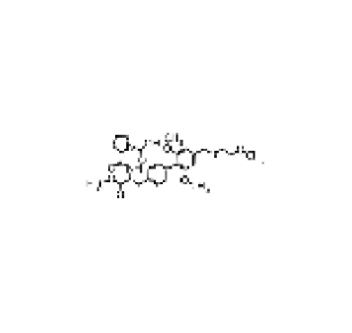 COCCOCc1cc(OC)c(-c2ccc(C[C@H](NC(=O)[C@@H]3CCCN3C(=O)O)C(=O)OC)cc2)c(OC)c1